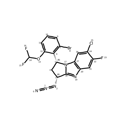 [N-]=[N+]=N[C@@H]1C[C@H](c2c(Br)cccc2OC(F)F)n2c1nc1cc(F)c(Cl)cc12